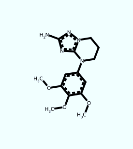 COc1cc(N2CCCn3nc(N)nc32)cc(OC)c1OC